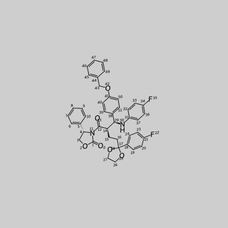 O=C1OC[C@H](c2ccccc2)N1C(=O)[C@H](CCC1(c2ccc(F)cc2)OCCO1)[C@H](Nc1ccc(F)cc1)c1ccc(OCc2ccccc2)cc1